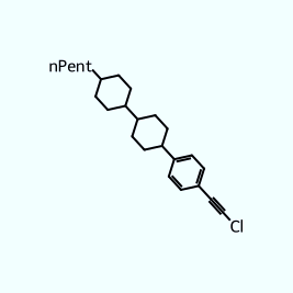 CCCCCC1CCC(C2CCC(c3ccc(C#CCl)cc3)CC2)CC1